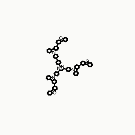 c1ccc2c(c1)oc1ccc(-c3ccc4c(c3)c3ccccc3n4-c3ccc(-c4ccc(-c5nc(-c6ccc(-n7c8ccccc8c8cc(-c9ccc%10oc%11ccccc%11c%10c9)ccc87)cc6)cc(-c6ccc(-n7c8ccccc8c8cc(-c9ccc%10oc%11ccccc%11c%10c9)ccc87)cc6)n5)cc4)cc3)cc12